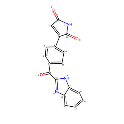 O=C1C=C(c2ccc(C(=O)c3nc4ccccc4[nH]3)cc2)C(=O)N1